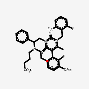 COc1cccc(-c2c(C)n(Cc3c(F)cccc3C(F)(F)F)c(=O)n(CC(c3ccccc3)N(CCCC(=O)O)CCCC(=O)O)c2=O)c1F